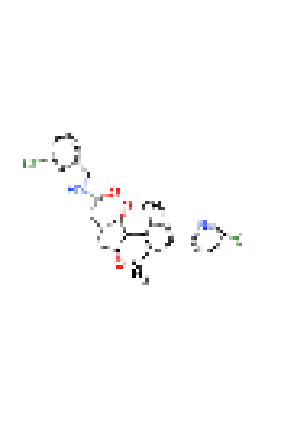 Cc1cc(-c2ccc(Cl)cn2)cc(C)c1C1C(=O)CC(CC(=O)NCc2cccc(Cl)c2)C1=O